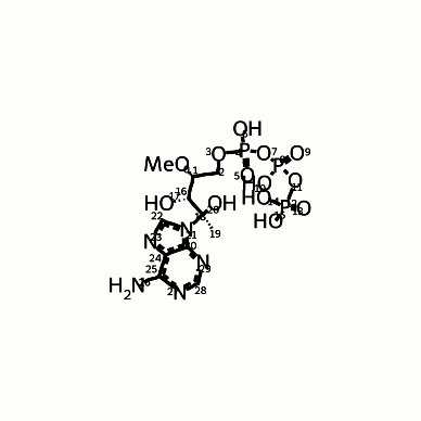 CO[C@H](COP(=O)(O)OP(=O)(O)OP(=O)(O)O)[C@@H](O)[C@@](C)(O)n1cnc2c(N)ncnc21